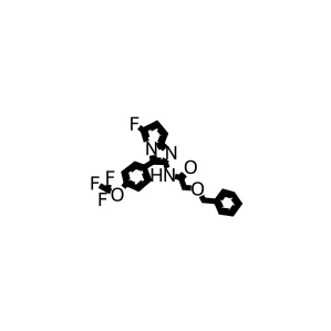 O=C(COCc1ccccc1)Nc1nc2ccc(F)cn2c1-c1ccc(OC(F)(F)F)cc1